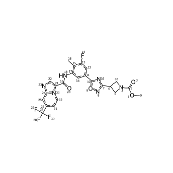 COC(=O)N1CC(c2noc(-c3cc(F)c(C)c(NC(=O)c4cnc5cc(C(F)(F)F)ccn45)c3)n2)C1